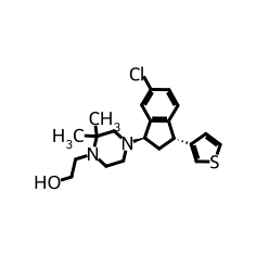 CC1(C)CN([C@@H]2C[C@@H](c3ccsc3)c3ccc(Cl)cc32)CCN1CCO